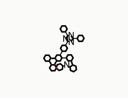 c1ccc(-c2nc(-c3ccccc3)nc(-c3ccc(-c4cc5c6ccccc6c6ccccc6c5cc4-c4cccc5c6ccccc6n(-c6ccccc6)c45)cc3)n2)cc1